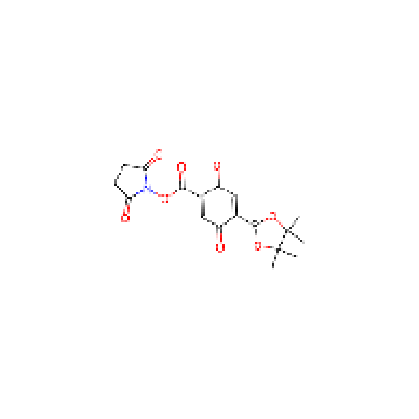 CC1(C)OB(C2=CC(=O)C(C(=O)ON3C(=O)CCC3=O)=CC2=O)OC1(C)C